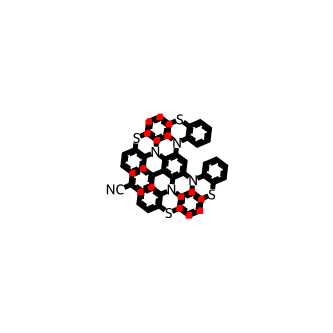 N#Cc1ccc(-c2c(N3c4ccccc4Sc4ccccc43)c(N3c4ccccc4Sc4ccccc43)cc(N3c4ccccc4Sc4ccccc43)c2N2c3ccccc3Sc3ccccc32)cc1